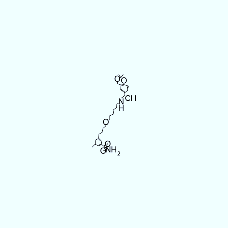 Cc1cc(CCCCOCCCCCCNC[C@@H](O)c2ccc3c(c2)COC(C)(C)O3)cc(S(N)(=O)=O)c1